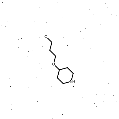 [O]CCCOC1CCNCC1